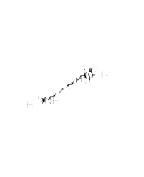 CC(=O)NCCOCCOCCOCCC(=O)NC(C)C(C)C